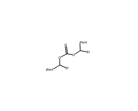 CCCC(C)C(CC)OC(=O)OC(CC)C(C)CCC